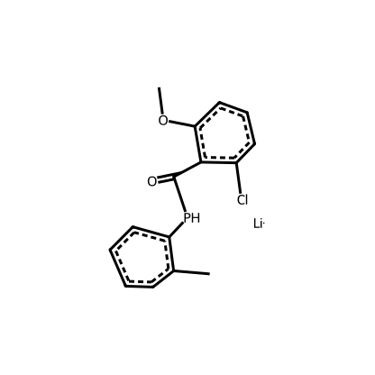 COc1cccc(Cl)c1C(=O)Pc1ccccc1C.[Li]